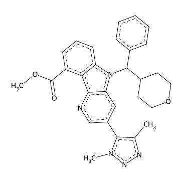 COC(=O)c1cccc2c1c1ncc(-c3c(C)nnn3C)cc1n2C(c1ccccc1)C1CCOCC1